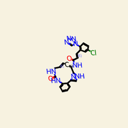 O=C(/C=C/c1cc(Cl)ccc1-n1cnnn1)N[C@H]1C/C=C/CNC(=O)Nc2ccccc2-c2c[nH]c1n2